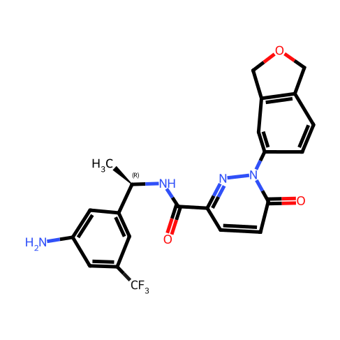 C[C@@H](NC(=O)c1ccc(=O)n(-c2ccc3c(c2)COC3)n1)c1cc(N)cc(C(F)(F)F)c1